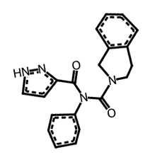 O=C(c1cc[nH]n1)N(C(=O)N1CCc2ccccc2C1)c1ccccc1